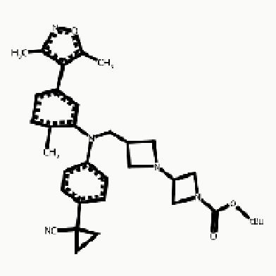 Cc1ccc(-c2c(C)noc2C)cc1N(CC1CN(C2CN(C(=O)OC(C)(C)C)C2)C1)c1ccc(C2(C#N)CC2)cc1